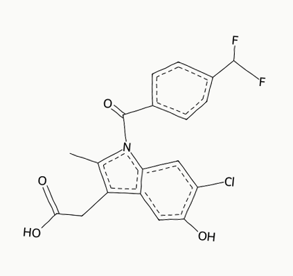 Cc1c(CC(=O)O)c2cc(O)c(Cl)cc2n1C(=O)c1ccc(C(F)F)cc1